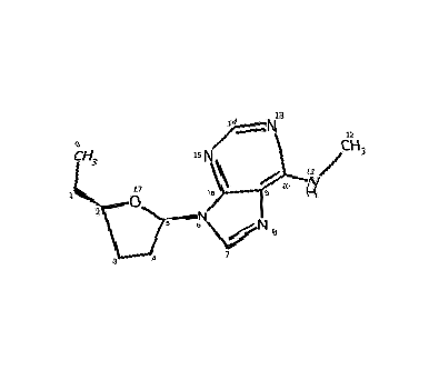 CC[C@@H]1CC[C@H](n2cnc3c(NC)ncnc32)O1